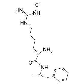 CC(Cc1ccccc1)NC(=O)C(N)CCCCNC(=N)NCl